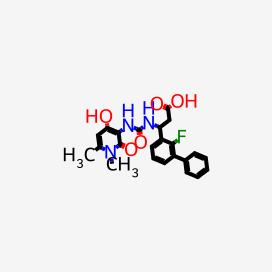 Cc1cc(O)c(NC(=O)NC(CC(=O)O)c2cccc(-c3ccccc3)c2F)c(=O)n1C